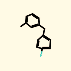 Cc1cc[c]c(Cc2ccc(F)cc2)c1